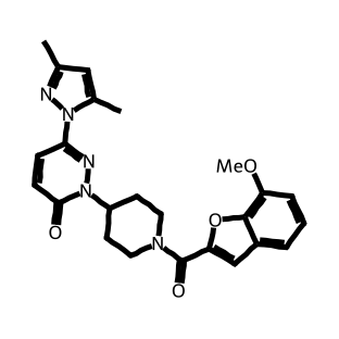 COc1cccc2cc(C(=O)N3CCC(n4nc(-n5nc(C)cc5C)ccc4=O)CC3)oc12